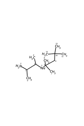 CC(N)C(C)NC(C)(C)CC(C)(C)C